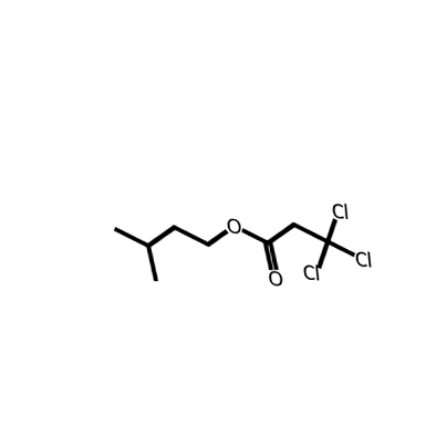 CC(C)CCOC(=O)CC(Cl)(Cl)Cl